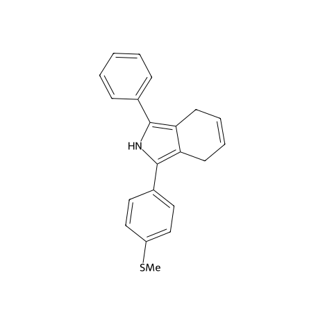 CSc1ccc(-c2[nH]c(-c3ccccc3)c3c2CC=CC3)cc1